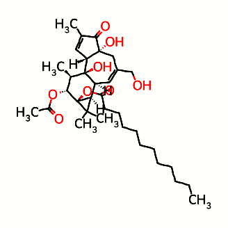 CCCCCCCCCCCC(=O)O[C@@]12[C@H](OC(C)=O)[C@@H](C)[C@@]3(O)[C@@H](C=C(CO)C[C@]4(O)C(=O)C(C)=C[C@@H]34)[C@H]1C2(C)C